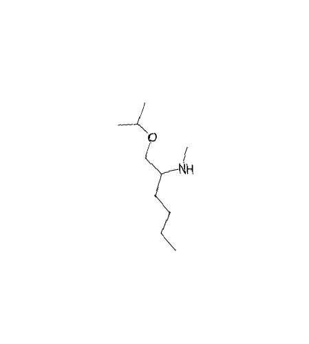 CCCCC(COC(C)C)NC